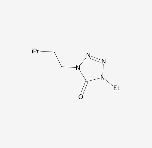 CCn1nnn(CCC(C)C)c1=O